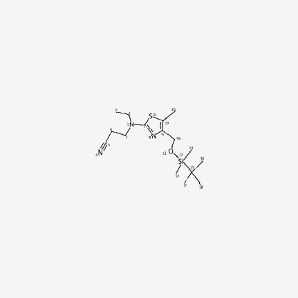 CCN(CCC#N)c1nc(CO[Si](C)(C)C(C)(C)C)c(C)s1